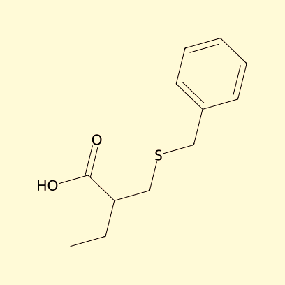 CCC(CSCc1ccccc1)C(=O)O